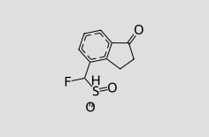 O=C1CCc2c1cccc2C(F)[SH](=O)=O